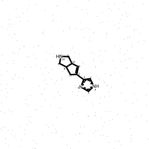 C1=C(c2c[nH]cn2)CC2CNCC12